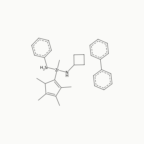 CC1=C(C)C(C)[C]([Zr]([CH3])([NH]C2CCC2)[SiH2]c2ccccc2)=C1C.c1ccc(-c2ccccc2)cc1